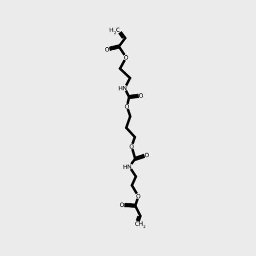 C=CC(=O)OCCNC(=O)OCCCOC(=O)NCCOC(=O)C=C